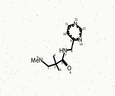 CNCC(C)(C)C(=O)NCc1ccncn1